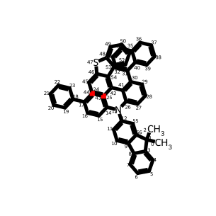 CC1(C)c2ccccc2-c2ccc(N(c3ccc(-c4ccccc4)cc3)c3cccc(-c4cccc5ccccc45)c3-c3cccc4sc5ccccc5c34)cc21